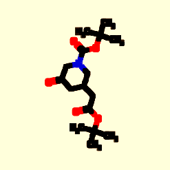 CC(C)(C)OC(=O)CC1CC(=O)CN(C(=O)OC(C)(C)C)C1